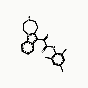 Cc1cc(C)c(NC(=O)C(=O)c2c3n(c4ccccc24)CCNCC3)c(C)c1